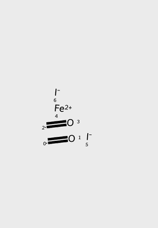 [C]=O.[C]=O.[Fe+2].[I-].[I-]